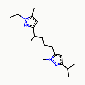 CCn1nc(C(C)CCCc2cc(C(C)C)nn2C)cc1C